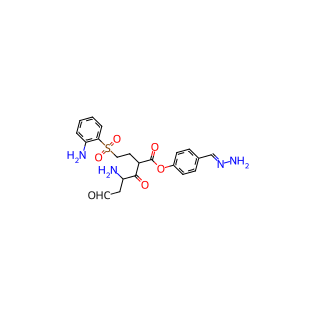 NN=Cc1ccc(OC(=O)C(CCS(=O)(=O)c2ccccc2N)C(=O)C(N)CC=O)cc1